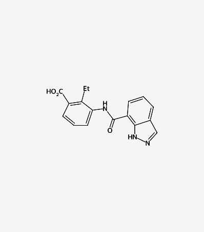 CCc1c(NC(=O)c2cccc3cn[nH]c23)cccc1C(=O)O